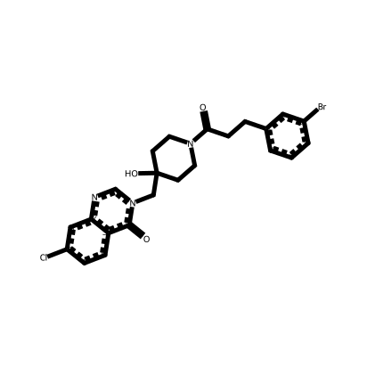 O=C(CCc1cccc(Br)c1)N1CCC(O)(Cn2cnc3cc(Cl)ccc3c2=O)CC1